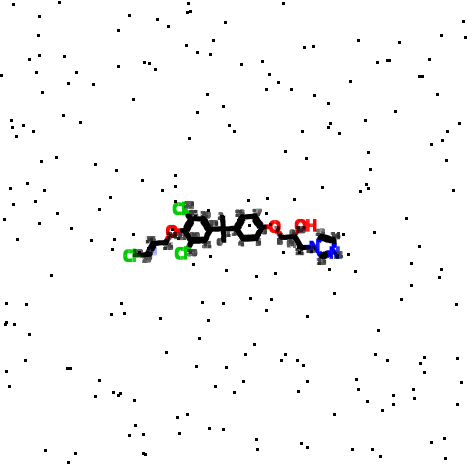 CC(C)(c1ccc(OC[C@H](O)Cn2ccnc2)cc1)c1cc(Cl)c(OC/C=C/Cl)c(Cl)c1